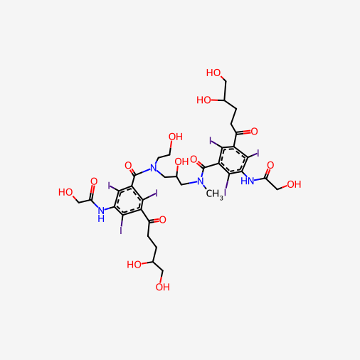 CN(CC(O)CN(CCO)C(=O)c1c(I)c(NC(=O)CO)c(I)c(C(=O)CCC(O)CO)c1I)C(=O)c1c(I)c(NC(=O)CO)c(I)c(C(=O)CCC(O)CO)c1I